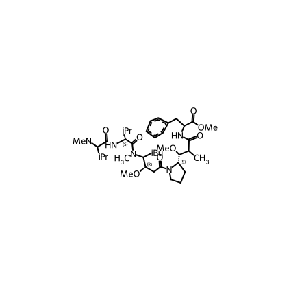 CCC(C)C([C@@H](CC(=O)N1CCC[C@H]1C(OC)C(C)C(=O)NC(Cc1ccccc1)C(=O)OC)OC)N(C)C(=O)[C@@H](NC(=O)C(NC)C(C)C)C(C)C